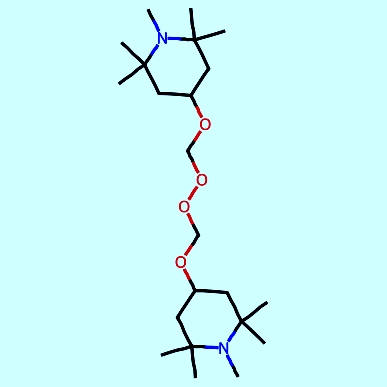 CN1C(C)(C)CC(OCOOCOC2CC(C)(C)N(C)C(C)(C)C2)CC1(C)C